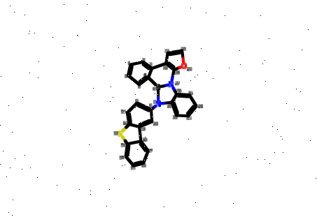 c1ccc2c(c1)B1N(c3ccc4sc5ccccc5c4c3)c3ccccc3N1c1occc1-2